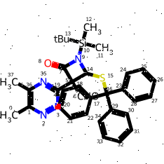 Cc1nnc(C2(C=O)C(=O)N([Si](C)(C)C(C)(C)C)C2SC(c2ccccc2)(c2ccccc2)c2ccccc2)nc1C